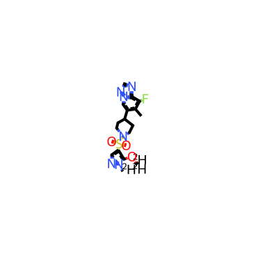 [2H]C([2H])([2H])Oc1c(S(=O)(=O)N2CCC(c3cn4ncnc4c(F)c3C)CC2)cnn1C